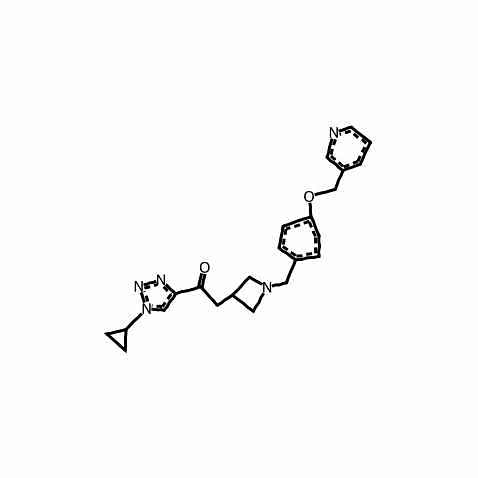 O=C(CC1CN(Cc2ccc(OCc3cccnc3)cc2)C1)c1cn(C2CC2)nn1